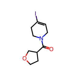 O=C(C1CCOC1)N1CC=C(I)CC1